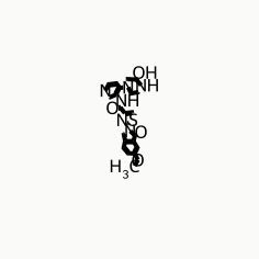 COc1ccc2c(c1)C(=O)N(c1nc(C(=O)Nc3cnccc3N3CCN[C@@H](O)C3)cs1)C2